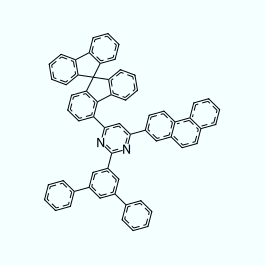 c1ccc(-c2cc(-c3ccccc3)cc(-c3nc(-c4ccc5c(ccc6ccccc65)c4)cc(-c4cccc5c4-c4ccccc4C54c5ccccc5-c5ccccc54)n3)c2)cc1